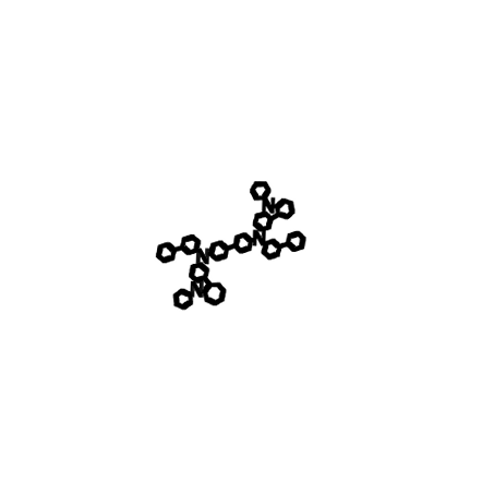 C1=CCc2c(n(-c3ccccc3)c3ccc(N(c4ccc(-c5ccc(N(c6cccc(-c7ccccc7)c6)c6ccc7c(c6)c6ccccc6n7-c6ccccc6)cc5)cc4)c4cccc(-c5ccccc5)c4)cc23)C=C1